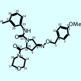 COc1ccc(CON=C2C[C@@H](C(=O)N3CCOCC3)N(C(=O)Nc3cccc(C)c3)C2)cc1